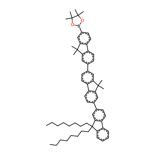 CCCCCCCCC1(CCCCCCCC)c2ccccc2-c2ccc(-c3ccc4c(c3)C(C)(C)c3cc(-c5ccc6c(c5)C(C)(C)c5cc(B7OC(C)(C)C(C)(C)O7)ccc5-6)ccc3-4)cc21